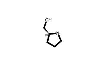 OC[C@@H]1CCC[N]1